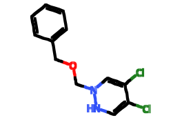 ClC1=CNN(COCc2ccccc2)C=C1Cl